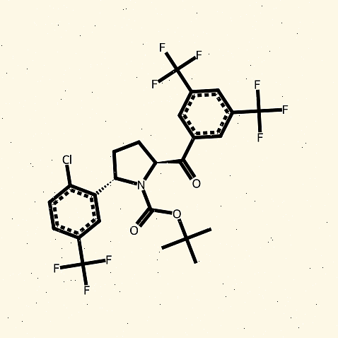 CC(C)(C)OC(=O)N1[C@H](C(=O)c2cc(C(F)(F)F)cc(C(F)(F)F)c2)CC[C@H]1c1cc(C(F)(F)F)ccc1Cl